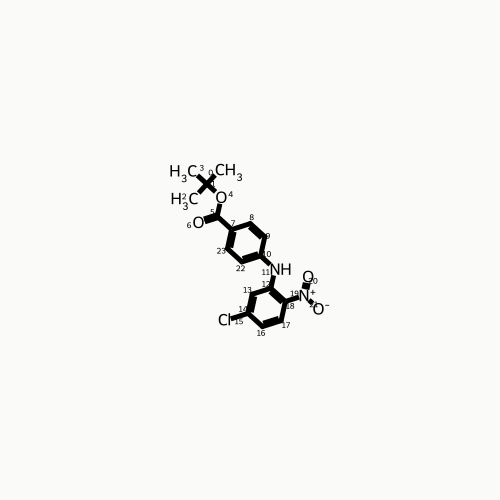 CC(C)(C)OC(=O)c1ccc(Nc2cc(Cl)ccc2[N+](=O)[O-])cc1